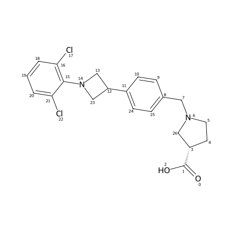 O=C(O)[C@H]1CCN(Cc2ccc(C3CN(c4c(Cl)cccc4Cl)C3)cc2)C1